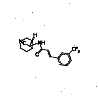 O=C(/C=C/c1cccc(C(F)(F)F)c1)N[C@H]1CN2CCC1CC2